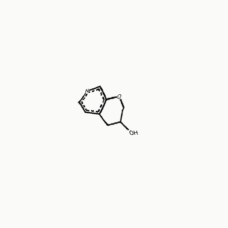 OC1COc2cnccc2C1